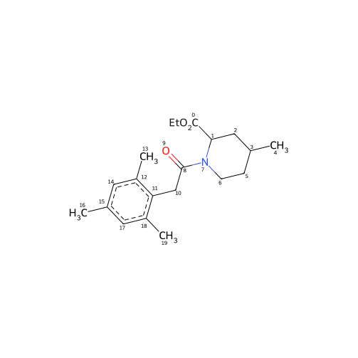 CCOC(=O)C1CC(C)CCN1C(=O)Cc1c(C)cc(C)cc1C